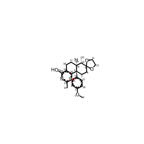 COc1ccc([C@]23CCC4(OCCO4)[C@@H](C)[C@@H]2CCc2c(O)nc(C)nc23)cc1